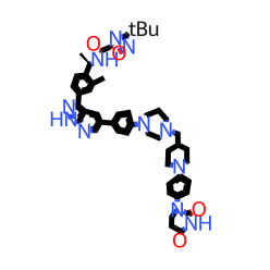 Cc1cc(-c2n[nH]c3ncc(-c4ccc(N5CCCN(CC6CCN(c7ccc(N8CCC(=O)NC8=O)cc7)CC6)CC5)cc4)cc23)ccc1[C@@H](C)NC(=O)c1nc(C(C)(C)C)no1